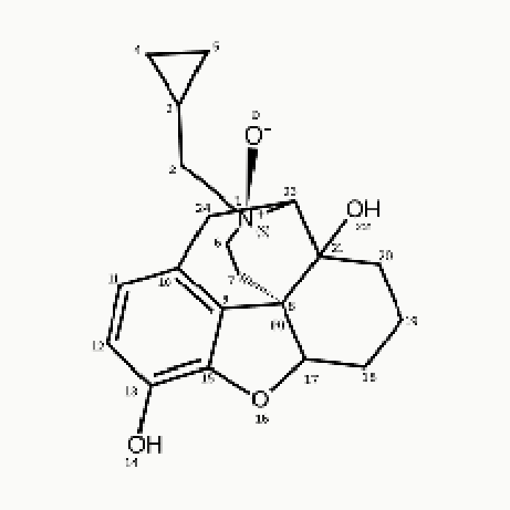 [O-][N@+]1(CC2CC2)CC[C@@]23c4c5ccc(O)c4OC2CCCC3(O)C1C5